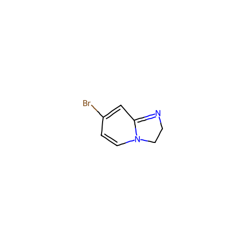 BrC1=CC2=NCCN2C=C1